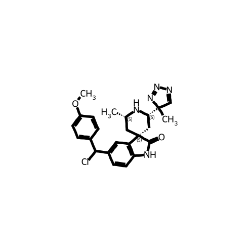 COc1ccc(C(Cl)c2ccc3c(c2)[C@]2(C[C@@H](C4(C)C=NN=N4)N[C@@H](C)C2)C(=O)N3)cc1